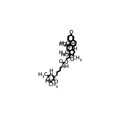 CNC(=O)[C@H](CCCCNC(=O)OCC(=O)[C@@]1(O)[C@H](C)C[C@H]2[C@@H]3CCC4=CC(=O)C=C[C@]4(C)[C@@]3(F)[C@@H](O)C[C@@]21C)NC(C)=O